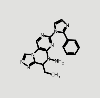 CCC1c2nncn2-c2cnc(-n3ccnc3-c3ccccc3)nc2N1N